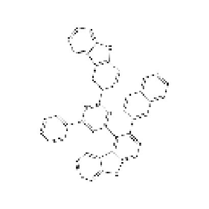 C1=CC(c2nc(-c3ccccc3)nc(-c3c(-c4ccc5ccccc5c4)ccc4oc5ccccc5c34)n2)Cc2c1oc1ccccc21